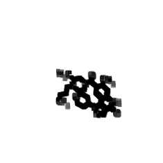 CC1C=c2[nH]c(=O)c3cnn(C4CCOCC4)c3c2=CC1C(=O)N1CCN(CCCC(F)(F)F)[C@@H](C)C1